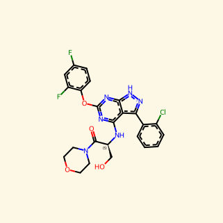 O=C([C@H](CO)Nc1nc(Oc2ccc(F)cc2F)nc2[nH]nc(-c3ccccc3Cl)c12)N1CCOCC1